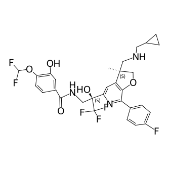 C[C@]1(CNCC2CC2)COc2c1cc([C@@](O)(CNC(=O)c1ccc(OC(F)F)c(O)c1)C(F)(F)F)nc2-c1ccc(F)cc1